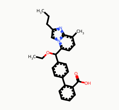 CCCc1cn2c(C(OCC)c3ccc(-c4ccccc4C(=O)O)cc3)ccc(C)c2n1